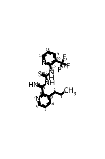 CCCc1cccnc1C(=N)NC(=S)Nc1ncccc1C(F)(F)F